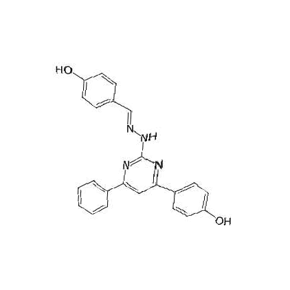 Oc1ccc(C=NNc2nc(-c3ccccc3)cc(-c3ccc(O)cc3)n2)cc1